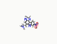 Cc1nc2c(nc1C)=C1C(=Nc3cc([N+](=O)[O-])ccc31)C(CCN(C)C)C=2